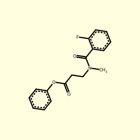 CN(CCC(=O)Oc1ccccc1)C(=O)c1ccccc1F